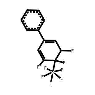 FC1=CC(c2ccccc2)=CC(F)C1(F)S(F)(F)(F)(F)F